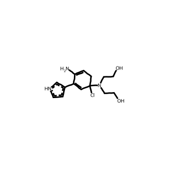 NC1=CCC(Cl)(N(CCO)CCO)C=C1c1cc[nH]c1